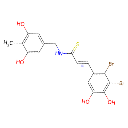 Cc1c(O)cc(CNC(=S)/C=C/c2cc(O)c(O)c(Br)c2Br)cc1O